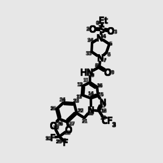 CCS(=O)(=O)N1CCN(C(=O)Nc2ccc3c(c2)nc(C(F)(F)F)n3Cc2cccc3c2OC(F)(F)O3)CC1